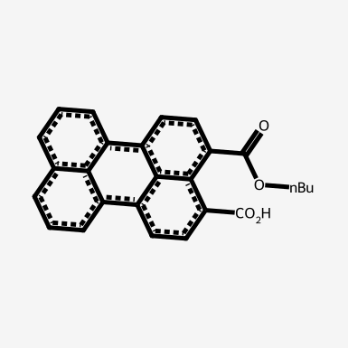 CCCCOC(=O)c1ccc2c3cccc4cccc(c5ccc(C(=O)O)c1c52)c43